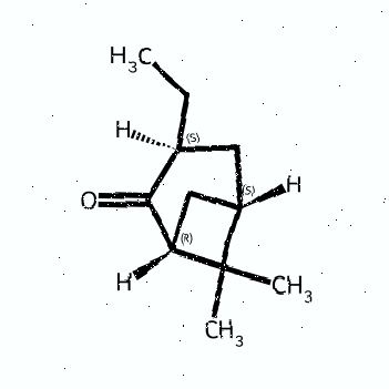 CC[C@H]1C[C@H]2C[C@@H](C1=O)C2(C)C